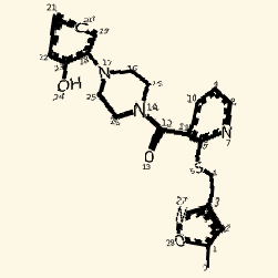 Cc1cc(CSc2ncccc2C(=O)N2CCN(c3ccccc3O)CC2)no1